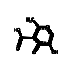 Cc1occ(O)c(=O)c1C(=O)O